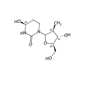 C[C@@H]1C(N2CC[C@H](O)NC2=O)O[C@H](CO)[C@H]1O